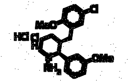 COc1cccc([C@@H]2[C@H](Cc3cc(Cl)ccc3OC)CCCN2N)c1.Cl.Cl